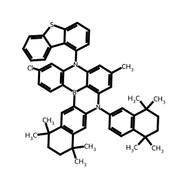 Cc1cc2c3c(c1)N(c1cccc4sc5ccccc5c14)c1cc(Cl)ccc1B3c1cc3c(cc1N2c1ccc2c(c1)C(C)(C)CCC2(C)C)C(C)(C)CCC3(C)C